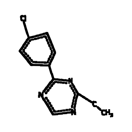 CCc1ncnc(-c2ccc(Cl)cc2)n1